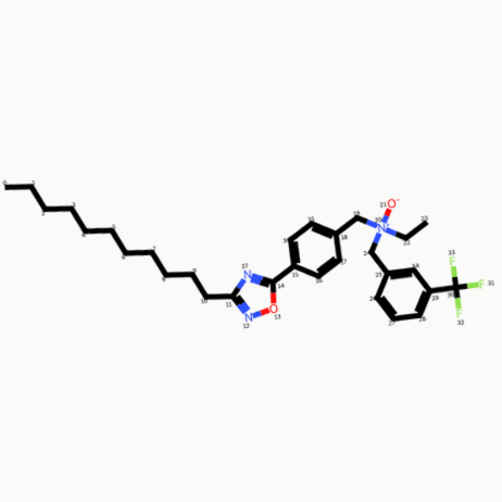 CCCCCCCCCCCc1noc(-c2ccc(C[N+]([O-])(CC)Cc3cccc(C(F)(F)F)c3)cc2)n1